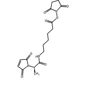 C[C@H](C(=O)NCCCCCC(=O)ON1C(=O)CCC1=O)N1C(=O)C=CC1=O